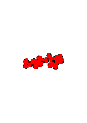 c1ccc([Si](c2ccccc2)(c2ccccc2)c2cccc(-c3nc(-n4c5ccccc5c5cc(-c6ccc([Si](c7ccccc7)(c7ccccc7)c7cccc(-c8ccccc8-n8c9ccccc9c9cc(-n%10c%11ccccc%11c%11ccccc%11%10)ccc98)c7)cc6)ccc54)nc(-n4c5ccccc5n5c6ccccc6nc45)n3)c2)cc1